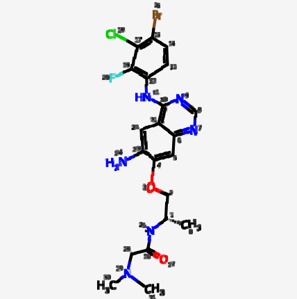 C[C@@H](COc1cc2ncnc(Nc3ccc(Br)c(Cl)c3F)c2cc1N)[N]C(=O)CN(C)C